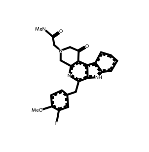 CNC(=O)CN1CC(=O)c2c(nc(Cc3ccc(OC)c(F)c3)c3[nH]c4ccccc4c23)C1